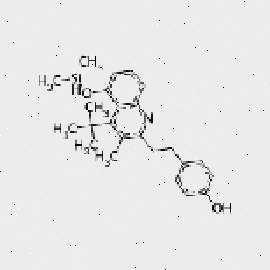 Cc1c(CCc2ccc(O)cc2)nc2cccc(O[SiH](C)C)c2c1C(C)(C)C